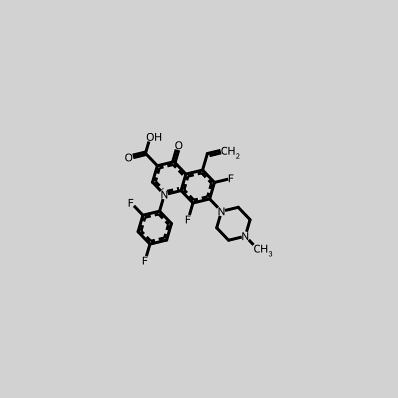 C=Cc1c(F)c(N2CCN(C)CC2)c(F)c2c1c(=O)c(C(=O)O)cn2-c1ccc(F)cc1F